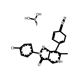 Cc1[nH]cc2c(=O)n(-c3ccc(Cl)cc3)nc-2c1C1=CCC(=[N+]=[N-])C=C1.OB(O)F